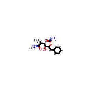 CCCCNC(=O)C(C)CC(O)C(CC1CCCCC1)OC(N)=O